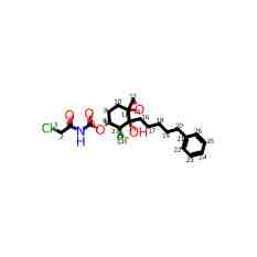 O=C(CCl)NC(=O)O[C@@H]1CCC2(CO2)C(O)(CCCCCc2ccccc2)C1Br